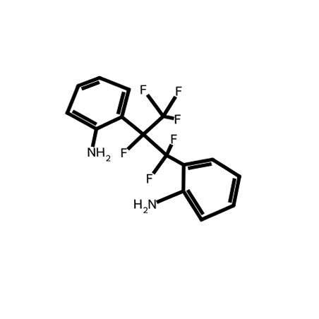 Nc1ccccc1C(F)(F)C(F)(c1ccccc1N)C(F)(F)F